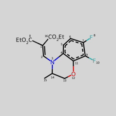 CCOC(=O)C(=CN1c2ccc(F)c(F)c2OCC1C)C(=O)OCC